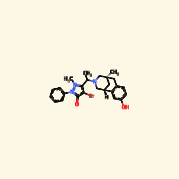 CC(c1c(Br)c(=O)n(-c2ccccc2)n1C)N1C[C@@H]2C[C@](C)(Cc3ccc(O)cc32)C1